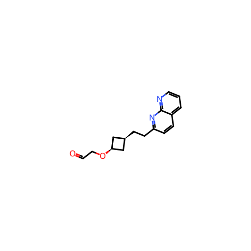 O=CCO[C@H]1C[C@@H](CCc2ccc3cccnc3n2)C1